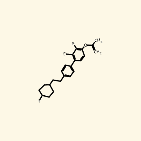 C=C(C)Oc1ccc(-c2ccc(CCC3CCC(I)CC3)cc2)c(F)c1F